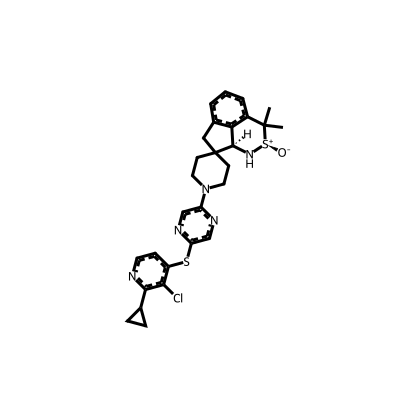 CC1(C)c2cccc3c2[C@@H](N[S@+]1[O-])C1(CCN(c2cnc(Sc4ccnc(C5CC5)c4Cl)cn2)CC1)C3